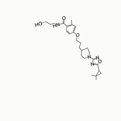 Cc1cc(OCCCC2CCN(c3noc(C4CC4(C)C)n3)CC2)ccc1C(=O)NCCCO